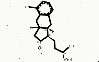 CCCCC[C@H](O)CC[C@@H]1[C@H]2Cc3cccc(N=O)c3C[C@H]2C[C@H]1O